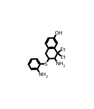 CCC1(CC)c2cc(O)ccc2CC(Sc2ccccc2N)C1N